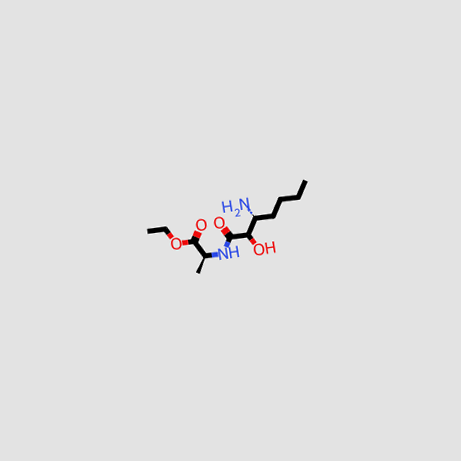 CCCC[C@@H](N)C(O)C(=O)N[C@@H](C)C(=O)OCC